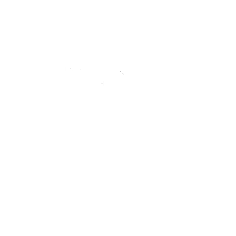 C=CCCCCCCCCN(C)CC(O)CS(=O)(=O)O